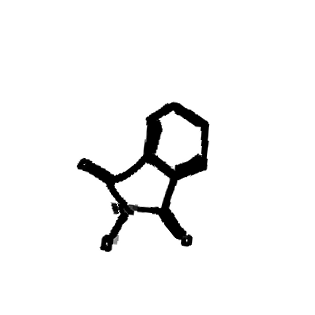 O=C1c2ccccc2C(=O)[NH+]1[O-]